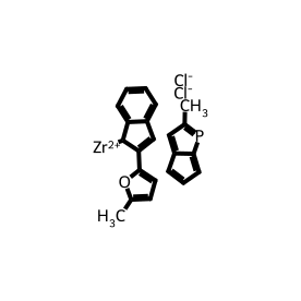 CC1=PC2=CC=CC2=C1.Cc1ccc(C2=Cc3ccccc3[CH]2[Zr+2])o1.[Cl-].[Cl-]